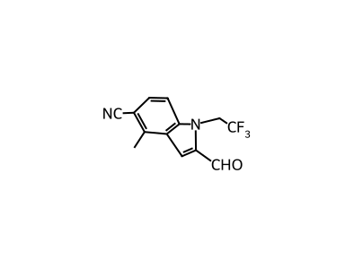 Cc1c(C#N)ccc2c1cc(C=O)n2CC(F)(F)F